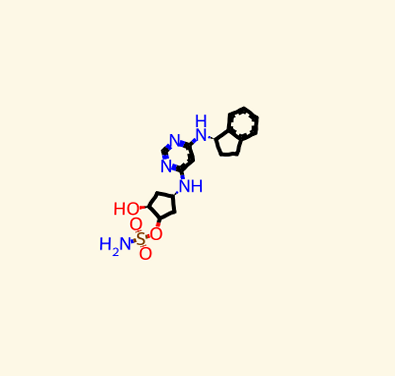 NS(=O)(=O)OC1C[C@@H](Nc2cc(N[C@H]3CCc4ccccc43)ncn2)C[C@@H]1O